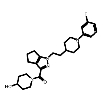 O=C(c1nn(CCC2CCN(c3cccc(F)c3)CC2)c2c1CCC2)N1CCC(O)CC1